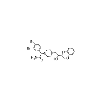 CCc1ccc(C(C(N)=O)N2CCN(CC(O)C3COc4ccccc4O3)CC2)cc1Br